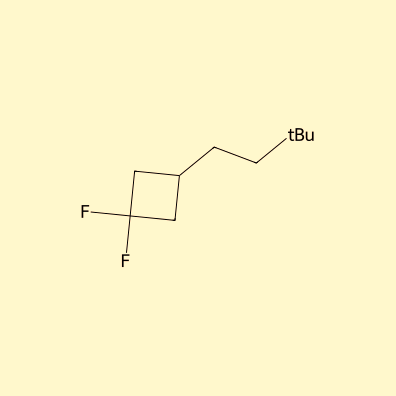 CC(C)(C)CCC1CC(F)(F)C1